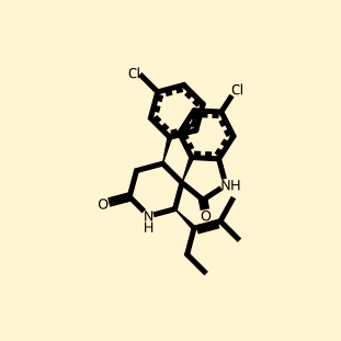 CCC(=C(C)C)[C@H]1NC(=O)C[C@@H](c2cccc(Cl)c2)[C@]12C(=O)Nc1cc(Cl)ccc12